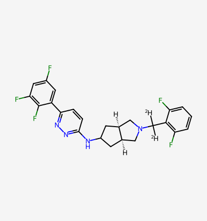 [2H]C([2H])(c1c(F)cccc1F)N1C[C@H]2CC(Nc3ccc(-c4cc(F)cc(F)c4F)nn3)C[C@H]2C1